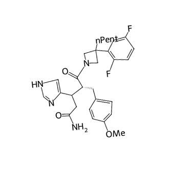 CCCCCC1(c2cc(F)ccc2F)CN(C(=O)[C@H](Cc2ccc(OC)cc2)C(CC(N)=O)c2c[nH]cn2)C1